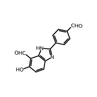 O=Cc1ccc(-c2nc3ccc(O)c(C=O)c3[nH]2)cc1